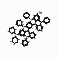 CC(C)(C)c1cc2c3c(c1)N(c1ccccc1)c1cc4c(cc1B3c1ccccc1N2c1ccccc1)B1c2ccccc2N(c2ccccc2)c2cc(N(C3CCCCC3)C3CCCCC3)cc(c21)N4c1ccccc1